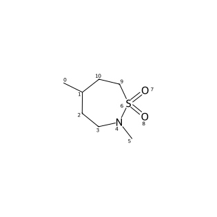 CC1CCN(C)S(=O)(=O)CC1